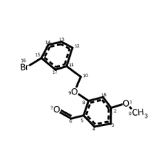 COc1ccc(C=O)c(OCc2cccc(Br)c2)c1